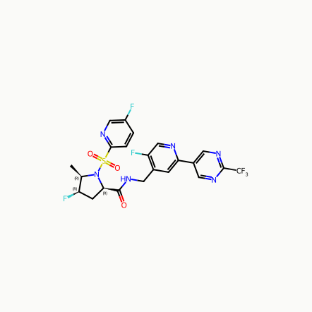 C[C@@H]1[C@H](F)C[C@H](C(=O)NCc2cc(-c3cnc(C(F)(F)F)nc3)ncc2F)N1S(=O)(=O)c1ccc(F)cn1